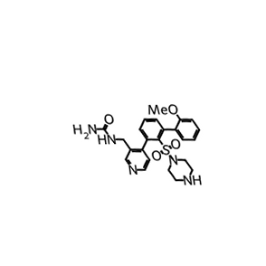 COc1ccccc1-c1cccc(-c2ccncc2CNC(N)=O)c1S(=O)(=O)N1CCNCC1